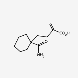 C=C(CCC1(C(N)=O)CCCCC1)C(=O)O